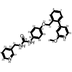 COc1cc(-c2ccccc2COc2ccc(NC(=O)NCc3cccnc3)cc2)ccn1